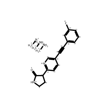 CN.CN.CN.O=C1NCCC1c1ccc(C#Cc2cccc(F)c2)cn1